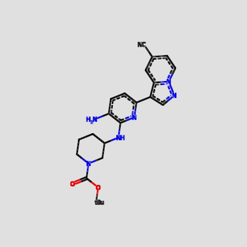 CC(C)(C)OC(=O)N1CCCC(Nc2nc(-c3cnn4ccc(C#N)cc34)ccc2N)C1